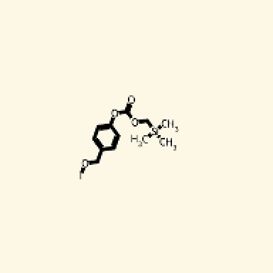 C[Si](C)(C)COC(=O)Oc1ccc(COI)cc1